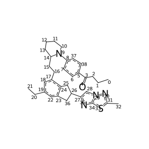 CCCC(=O)c1ccc(N2CCCCC2CCc2cc(CC)cc3c2CC(c2cn4nc(C)sc4n2)C3)cc1